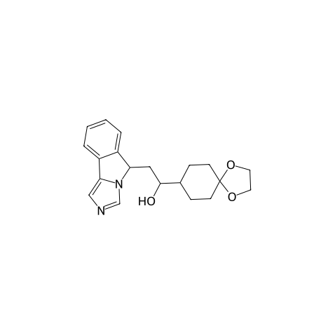 OC(CC1c2ccccc2-c2cncn21)C1CCC2(CC1)OCCO2